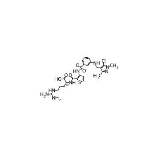 Cc1nn(C)c(Cl)c1CNc1cccc(S(=O)(=O)Nc2ccsc2C(=O)N[C@@H](CCCNC(N)N)C(=O)O)c1